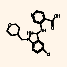 O=C(O)c1ccncc1NC1NN(CC2CCOCC2)c2ccc(Cl)cc21